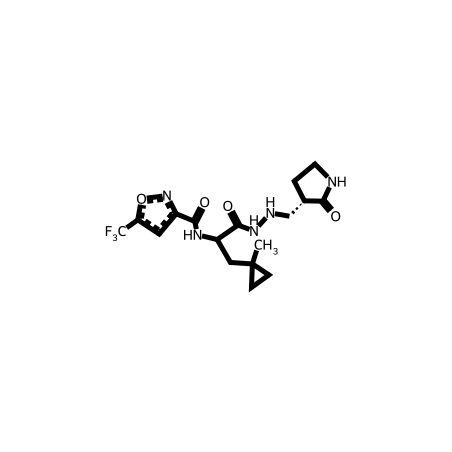 CC1(CC(NC(=O)c2cc(C(F)(F)F)on2)C(=O)NNC[C@@H]2CCNC2=O)CC1